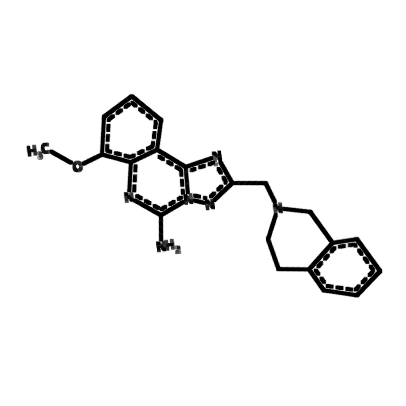 COc1cccc2c1nc(N)n1nc(CN3CCc4ccccc4C3)nc21